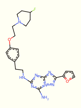 Nc1nc(NCCc2ccc(OCCN3CCC(F)CC3)cc2)nc2nc(-c3ccco3)nn12